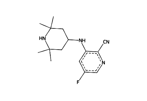 CC1(C)CC(Nc2cc(F)cnc2C#N)CC(C)(C)N1